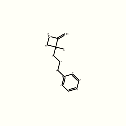 CC1(CCCc2ccccc2)COC1=O